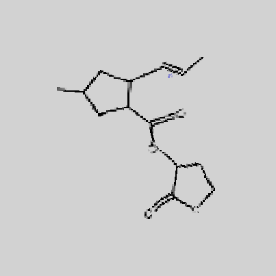 C/C=C/C1CC(C)CC1C(=O)OC1CCOC1=O